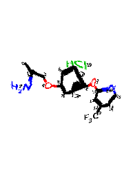 CC(N)COc1ccc(Oc2cc(C(F)(F)F)ccn2)cc1.Cl